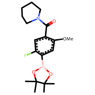 COc1cc(B2OC(C)(C)C(C)(C)O2)c(F)cc1C(=O)N1CCCCC1